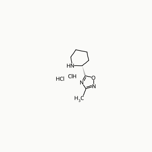 Cc1noc([C@H]2CCCCN2)n1.Cl.Cl